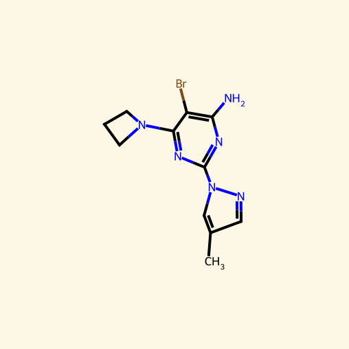 Cc1cnn(-c2nc(N)c(Br)c(N3CCC3)n2)c1